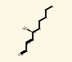 CCCCC[C@H](O)/C=C/C=O